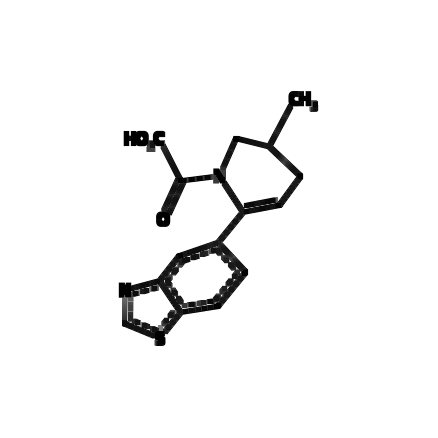 CC1CC=C(c2ccc3scnc3c2)N(C(=O)C(=O)O)C1